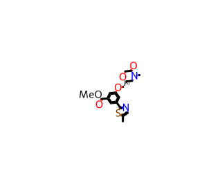 COC(=O)c1cc(OC[C@H]2CN(C)C(=O)CO2)cc(-c2ncc(C)s2)c1